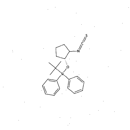 CC(C)(C)[Si](O[C@@H]1CCCC1N=C=S)(c1ccccc1)c1ccccc1